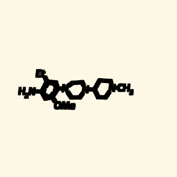 CCc1cc(N2CCN(C3CCN(C)CC3)CC2)c(OC)cc1N